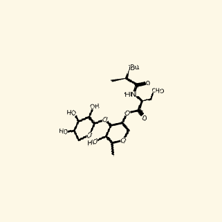 CC[C@H](C)[C@H](C)C(=O)N[C@@H](CC=O)C(=O)OC1COC(C)C(O)C1OC1OCC(O)C(O)C1O